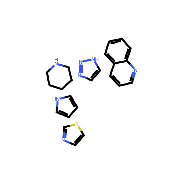 C1CCNCC1.c1c[nH]nn1.c1cc[nH]c1.c1ccc2ncccc2c1.c1cscn1